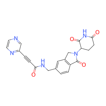 O=C(C#Cc1cnccn1)NCc1ccc2c(c1)CN(C1CCC(=O)NC1=O)C2=O